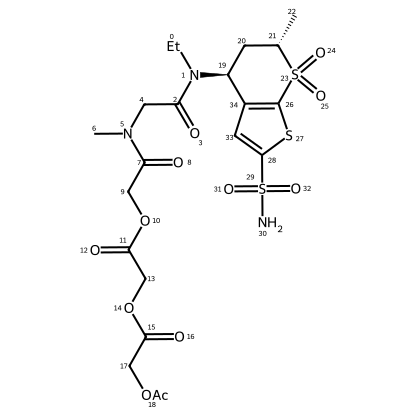 CCN(C(=O)CN(C)C(=O)COC(=O)COC(=O)COC(C)=O)[C@H]1C[C@H](C)S(=O)(=O)c2sc(S(N)(=O)=O)cc21